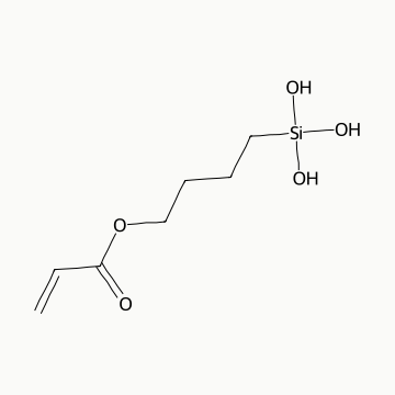 C=CC(=O)OCCCC[Si](O)(O)O